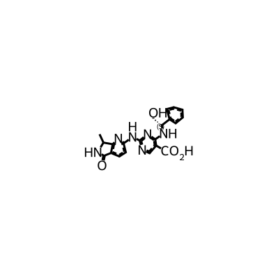 CC1NC(=O)c2ccc(Nc3ncc(C(=O)O)c(N[C@H](CO)c4ccccc4)n3)nc21